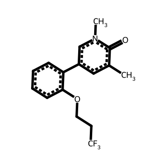 Cc1cc(-c2ccccc2OCCC(F)(F)F)cn(C)c1=O